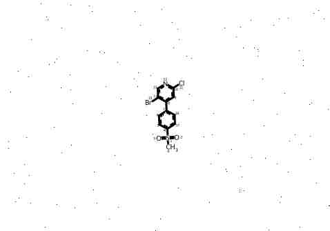 CS(=O)(=O)c1ccc(-c2cc(Cl)ncc2Br)cc1